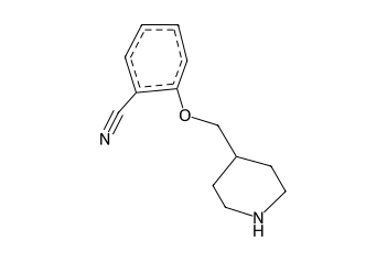 N#Cc1ccccc1OCC1CCNCC1